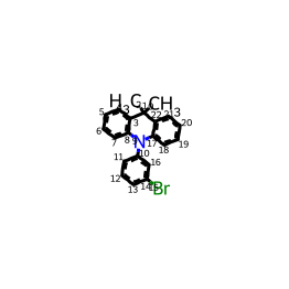 CC1(C)c2ccccc2N(c2cccc(Br)c2)c2ccccc21